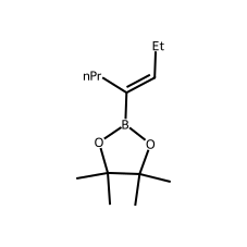 CC/C=C(\CCC)B1OC(C)(C)C(C)(C)O1